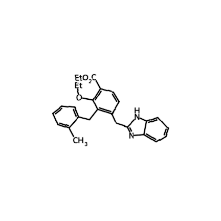 CCOC(=O)c1ccc(Cc2nc3ccccc3[nH]2)c(Cc2ccccc2C)c1OCC